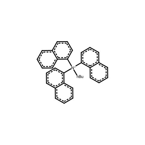 CCCC[N+](c1cccc2ccccc12)(c1cccc2ccccc12)c1cccc2ccccc12